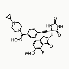 COc1ccc2c(c1F)C(=O)N(C[C@@]1(C#Cc3ccc(C(=NO)N4CCN(C5CC5)CC4)cc3)NC(=O)NC1=O)C2